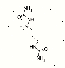 NC(=O)NCCC[SiH2]NC(N)=O